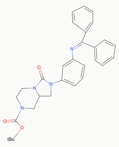 CC(C)(C)OC(=O)N1CCN2C(=O)N(c3cccc(N=C(c4ccccc4)c4ccccc4)c3)CC2C1